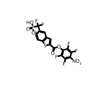 O=C(Oc1c(F)c(F)c([N+](=O)[O-])c(F)c1F)c1cc2cc(C(F)(F)P(=O)(O)O)ccc2s1